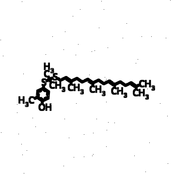 CC(C)=CCC/C(C)=C/CC/C(C)=C/CC/C(C)=C/CSC(C)(C)Sc1ccc(O)c(C)c1